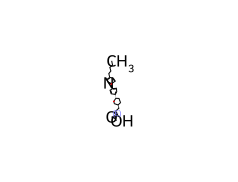 CCCCCc1ccc(-c2ccc([C@H]3CC[C@H](C/C=C/C(=O)O)CC3)cc2)nc1